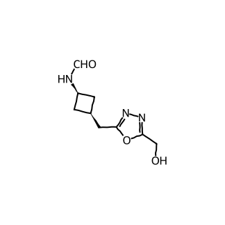 O=CN[C@H]1C[C@@H](Cc2nnc(CO)o2)C1